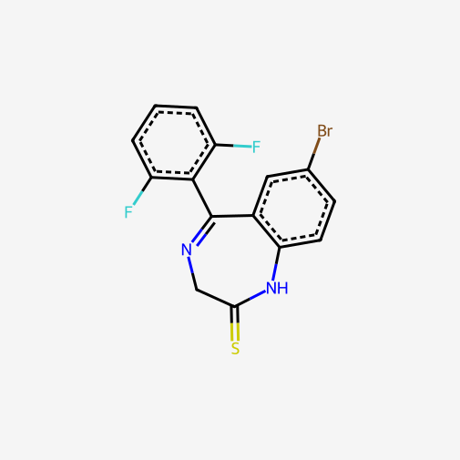 Fc1cccc(F)c1C1=NCC(=S)Nc2ccc(Br)cc21